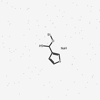 CCOC(S)c1ccsc1.[NaH]